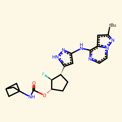 CC(C)(C)c1cc2c(Nc3cc([C@@H]4CC[C@H](OC(=O)NC56CC(C5)C6)[C@H]4F)[nH]n3)nccn2n1